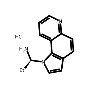 C[CH][C@@H](N)n1ccc2ccc3ncccc3c21.Cl